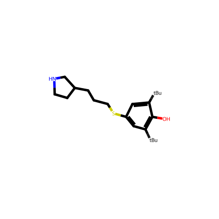 CC(C)(C)c1cc(SCCCC2CCNC2)cc(C(C)(C)C)c1O